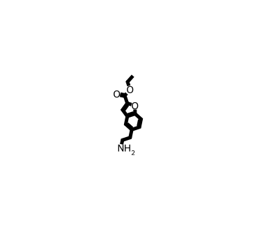 CCOC(=O)c1cc2cc(CCN)ccc2o1